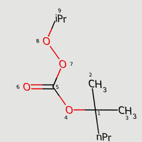 CCCC(C)(C)OC(=O)OOC(C)C